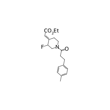 CCOC(=O)/C=C1\CCN(C(=O)CCc2ccc(C)cc2)CC1F